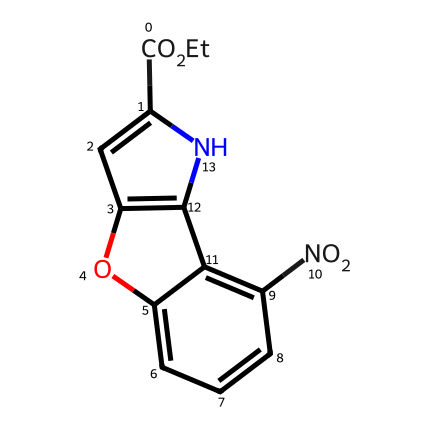 CCOC(=O)c1cc2oc3cccc([N+](=O)[O-])c3c2[nH]1